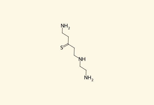 NCCNCCC(=S)CCN